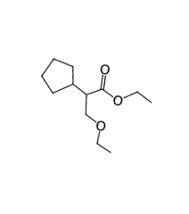 CCOCC(C(=O)OCC)C1CCCC1